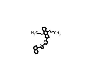 CCCCc1c2ccccc2c(CCCC)c2cc(-c3ccc(-c4ccc(-c5cccc6ccccc56)s4)s3)ccc12